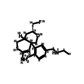 CCNCc1ccc(F)c([C@]23CO[C@@H](CF)C[C@H]2CSC(N)=N3)c1